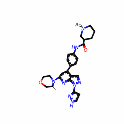 CC(=O)N1CCCC(C(=O)Nc2ccc(-c3cc(N4CCOC[C@H]4C)nc4c3cnn4-c3cc[nH]n3)cc2)C1